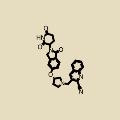 N#Cc1nc2ccccc2cc1CN1CC[C@H](Oc2ccc3c(c2)CN(C2CCC(=O)NC2=O)C3=O)C1